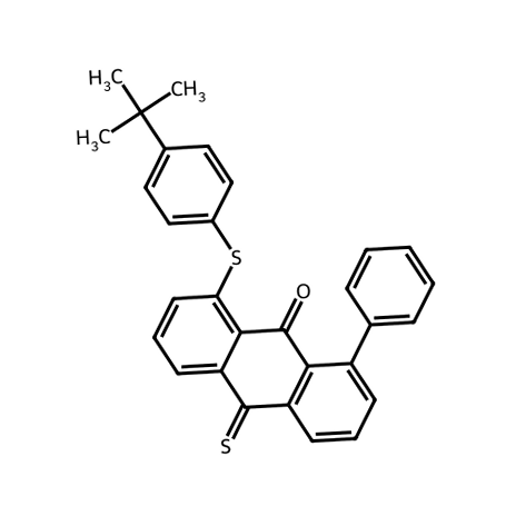 CC(C)(C)c1ccc(Sc2cccc3c2C(=O)c2c(cccc2-c2ccccc2)C3=S)cc1